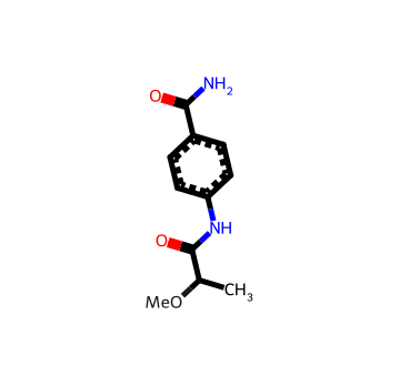 COC(C)C(=O)Nc1ccc(C(N)=O)cc1